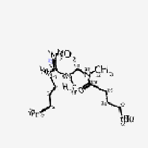 CC(C)CCCN/C(=N/[N+](=O)[O-])N(C)CN(C)C(=O)CCCC(C)(C)C